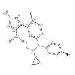 CN(C1CC1)C(c1ccc(N)cc1)c1ccc(F)c(-n2nc(C(F)(F)F)cc2C(N)=O)c1